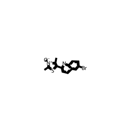 Cc1sc(-c2ccc3cc(Br)ccc3n2)c(C)[n+]1[O-]